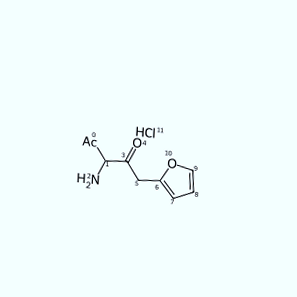 CC(=O)C(N)C(=O)Cc1ccco1.Cl